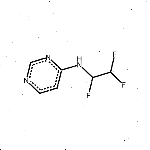 FC(F)C(F)Nc1ccncn1